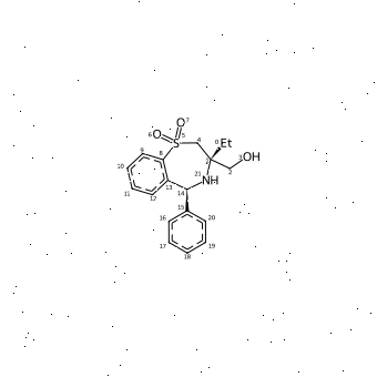 CC[C@]1(CO)CS(=O)(=O)c2ccccc2[C@H](c2ccccc2)N1